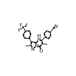 Cc1nn2c(=O)c(C)c(-c3ccc(C#N)cc3)[nH]c2c1-c1ccc(C(F)(F)F)cc1